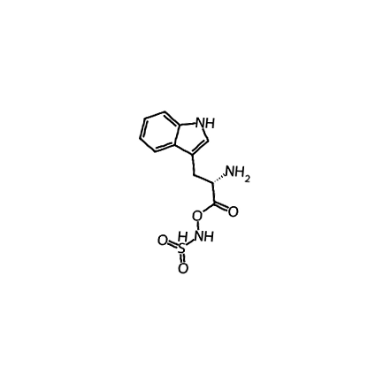 N[C@@H](Cc1c[nH]c2ccccc12)C(=O)ON[SH](=O)=O